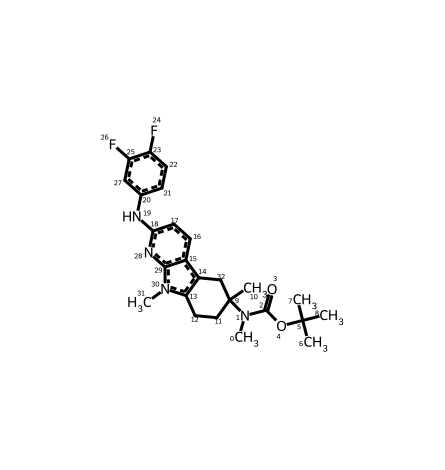 CN(C(=O)OC(C)(C)C)C1(C)CCc2c(c3ccc(Nc4ccc(F)c(F)c4)nc3n2C)C1